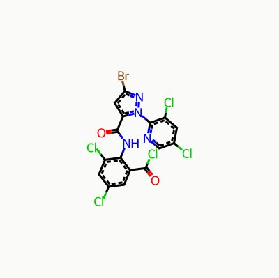 O=C(Cl)c1cc(Cl)cc(Cl)c1NC(=O)c1cc(Br)nn1-c1ncc(Cl)cc1Cl